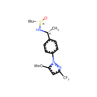 COc1cc(C(F)(F)F)nn1-c1ccc([C@@H](C)N[S@@+]([O-])C(C)(C)C)cc1